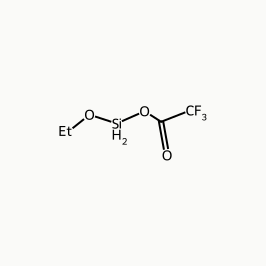 CCO[SiH2]OC(=O)C(F)(F)F